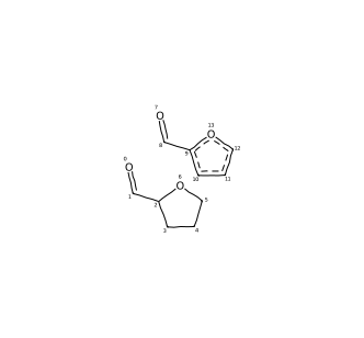 O=CC1CCCO1.O=Cc1ccco1